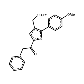 CCOC(=O)Cc1cc(C(=O)Cc2ccccc2)sc1-c1ccc(OC)cc1